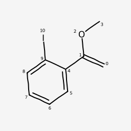 C=C(OC)c1ccccc1I